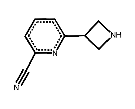 N#Cc1cccc(C2CNC2)n1